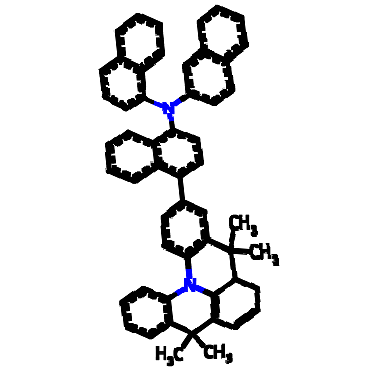 CC1(C)C2=C3C(CC=C2)C(C)(C)c2cc(-c4ccc(N(c5ccc6ccccc6c5)c5cccc6ccccc56)c5ccccc45)ccc2N3c2ccccc21